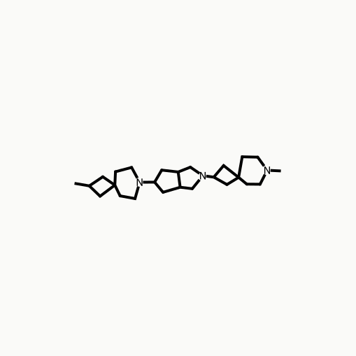 CC1CC2(CCN(C3CC4CN(C5CC6(CCN(C)CC6)C5)CC4C3)CC2)C1